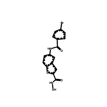 O=C(Nc1ccc2sc(C(=O)NO)cc2c1)c1ccc(Br)cc1